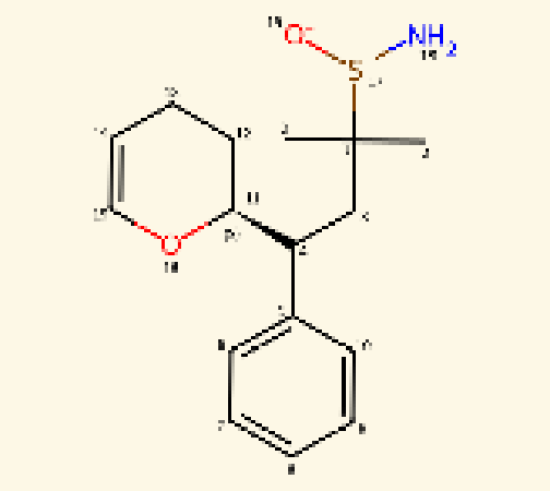 CC(C)(CC(c1ccccc1)[C@@H]1CCC=CO1)[S+](N)[O-]